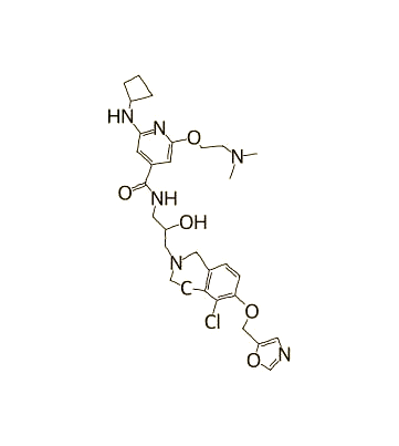 CN(C)CCOc1cc(C(=O)NCC(O)CN2CCc3c(ccc(OCc4cnco4)c3Cl)C2)cc(NC2CCC2)n1